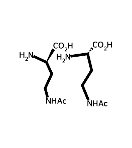 CC(=O)NCC[C@@H](N)C(=O)O.CC(=O)NCC[C@H](N)C(=O)O